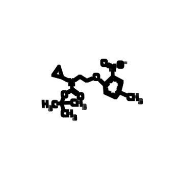 Cc1ccc(OCCN(C(=O)OC(C)(C)C)C2CC2)c([N+](=O)[O-])c1